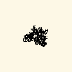 CO[C@H]1C[C@@H](CO[Si](c2ccccc2)(c2ccccc2)C(C)(C)C)O[C@@H](n2c3cc(F)c(F)cc3c3c4c(c5c6cc(F)c(F)cc6[nH]c5c32)C(=O)NC4=O)[C@@H]1OCc1ccccc1